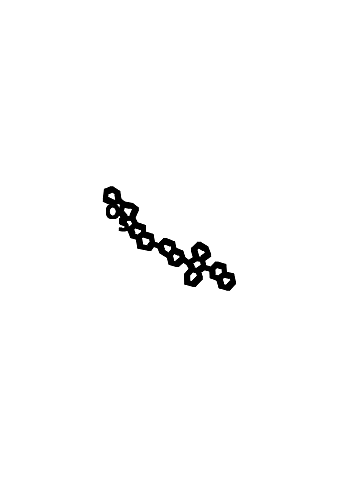 c1ccc2cc(-c3c4ccccc4c(-c4ccc5cc(-c6ccc7cc8sc9c(ccc%10c%11ccccc%11oc%109)c8cc7c6)ccc5c4)c4ccccc34)ccc2c1